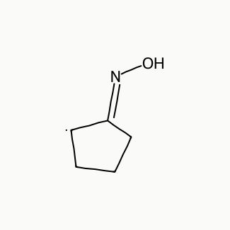 ON=C1[CH]CCC1